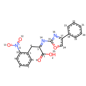 O=C(O)/C(Cc1ccccc1[N+](=O)[O-])=N\c1nc(-c2ccccc2)co1